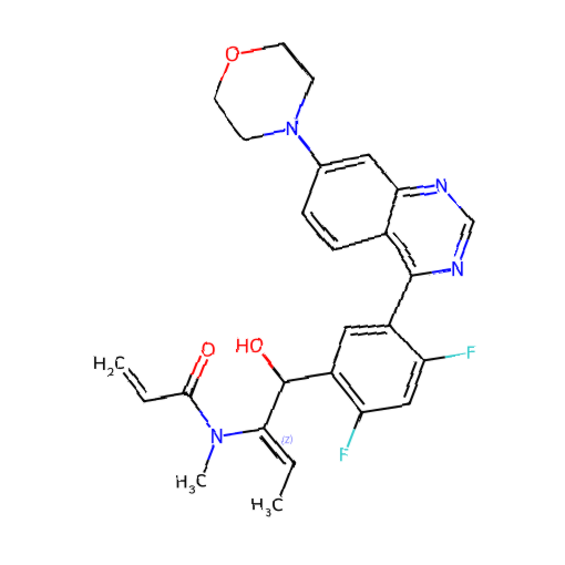 C=CC(=O)N(C)/C(=C\C)C(O)c1cc(-c2ncnc3cc(N4CCOCC4)ccc23)c(F)cc1F